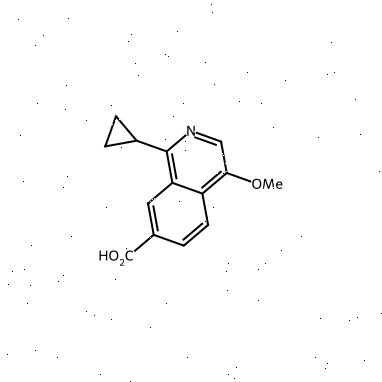 COc1cnc(C2CC2)c2cc(C(=O)O)ccc12